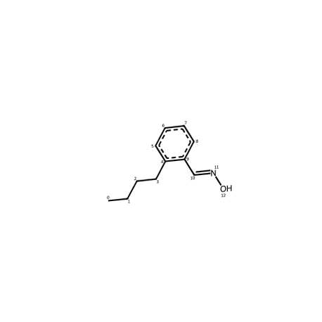 CCCCc1ccccc1C=NO